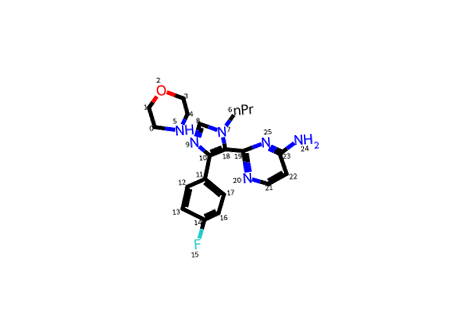 C1COCCN1.CCCn1cnc(-c2ccc(F)cc2)c1-c1nccc(N)n1